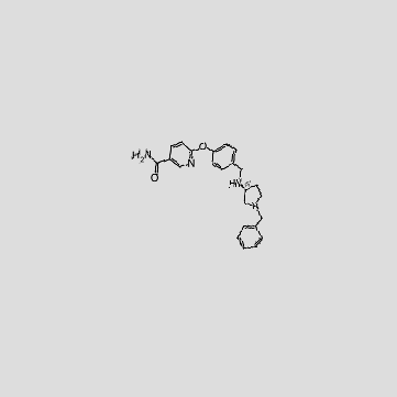 NC(=O)c1ccc(Oc2ccc(CN[C@H]3CCN(Cc4ccccc4)C3)cc2)nc1